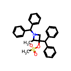 CC1N(C(c2ccccc2)c2ccccc2)CC1(OS(C)(=O)=O)C(c1ccccc1)c1ccccc1